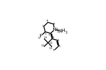 C/C=C\C(=C1\C(F)CCCN1N)C(C)(C)C